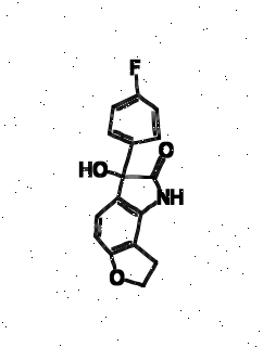 O=C1Nc2c(ccc3c2CCO3)C1(O)c1ccc(F)cc1